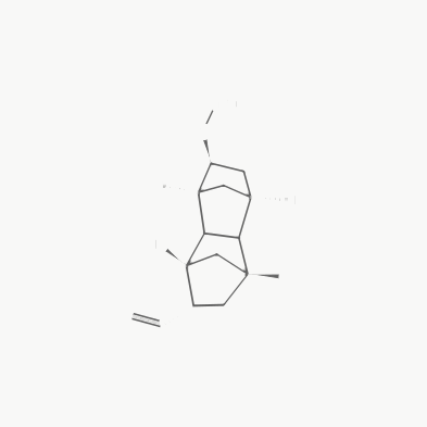 C=C[C@H]1C[C@@H]2C[C@H]1C1C2[C@@H]2C[C@H](SCCCC)[C@H]1C2